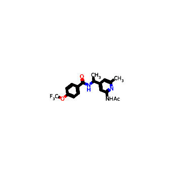 CC(=O)Nc1cc(C(C)NC(=O)c2ccc(OC(F)(F)F)cc2)cc(C)n1